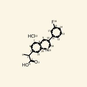 CC(C(=O)O)c1ccc2cc(-c3cccc(F)c3)cnc2c1.Cl